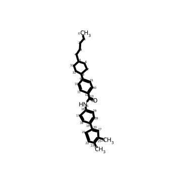 CCCCCC1CCC(c2ccc(C(=O)Nc3ccc(-c4ccc(C)c(C)c4)cc3)cc2)CC1